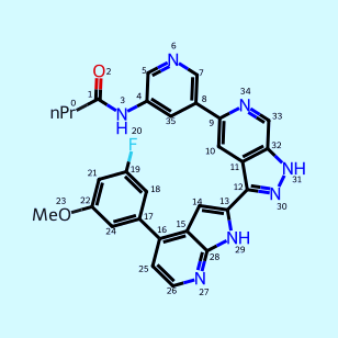 CCCC(=O)Nc1cncc(-c2cc3c(-c4cc5c(-c6cc(F)cc(OC)c6)ccnc5[nH]4)n[nH]c3cn2)c1